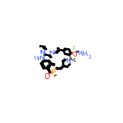 C\C=C/N=C(Nc1ccc(C(=O)P(C)CCC2CCN(C(C)=O)CC2)c(C)c1)\C(C)=N\C=C(/C)c1ccc(OC(N)F)cc1